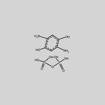 Nc1cc(O)c(N)cc1O.O=P(O)(O)OP(=O)(O)O